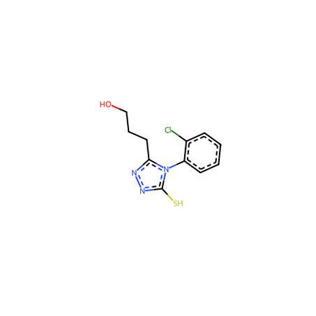 OCCCc1nnc(S)n1-c1ccccc1Cl